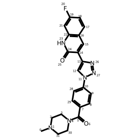 CN1CCN(C(=O)c2ccc(-n3cc(-c4cc5ccc(F)cc5[nH]c4=O)nn3)cc2)CC1